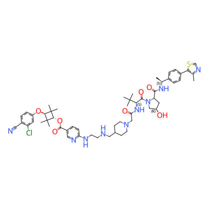 Cc1ncsc1-c1ccc([C@H](C)NC(=O)C2C[C@@H](O)CN2C(=O)[C@@H](NC(=O)CN2CCC(CNCCNc3ccc(C(=O)O[C@H]4C(C)(C)[C@H](Oc5ccc(C#N)c(Cl)c5)C4(C)C)cn3)CC2)C(C)(C)C)cc1